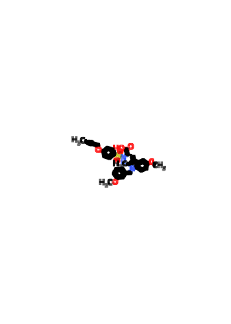 CC#CCOc1ccc(S(=O)(=O)N[C@@H](Cc2c(C)n(Cc3cccc(OC)c3)c3ccc(OC)cc23)C(=O)O)cc1